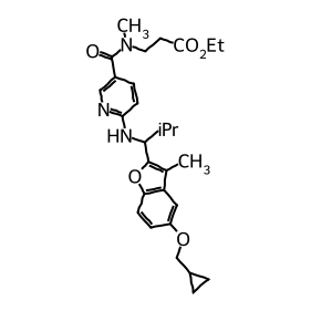 CCOC(=O)CCN(C)C(=O)c1ccc(NC(c2oc3ccc(OCC4CC4)cc3c2C)C(C)C)nc1